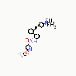 COc1ccc(C(=O)NCc2ccccc2-c2ccccc2/C=C/c2ccc(N(C)C)cc2)cn1